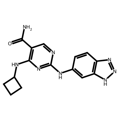 NC(=O)c1cnc(Nc2ccc3nn[nH]c3c2)nc1NC1CCC1